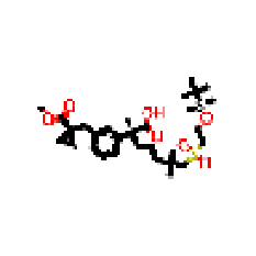 COC(=O)C1(Cc2cccc([C@@](C)(CCCC(C)(C)CS(=O)(=O)CCO[Si](C)(C)C(C)(C)C)C(=O)O)c2)CC1